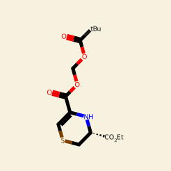 CCOC(=O)[C@@H]1CSC=C(C(=O)OCOC(=O)C(C)(C)C)N1